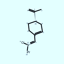 C=C(C)[C@@H]1CC=C(C=[N+]([O-])C(C)C)CC1